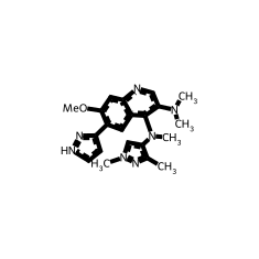 COc1cc2ncc(N(C)C)c(N(C)c3cn(C)nc3C)c2cc1-c1cc[nH]n1